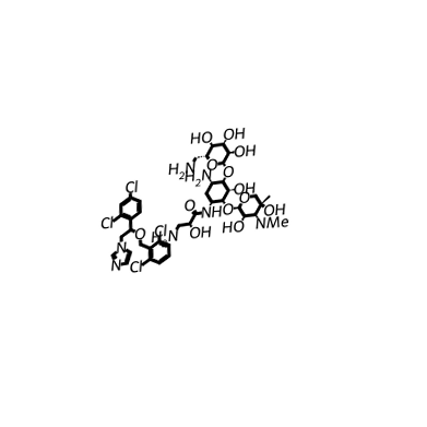 CN[C@@H]1[C@@H](O)[C@@H](O[C@@H]2[C@@H](O)[C@H](O[C@H]3O[C@H](CN)[C@@H](O)[C@H](O)[C@H]3O)[C@@H](N)C[C@H]2NC(=O)[C@@H](O)CN)OC[C@]1(C)O.Clc1ccc(C(Cn2ccnc2)OCc2c(Cl)cccc2Cl)c(Cl)c1